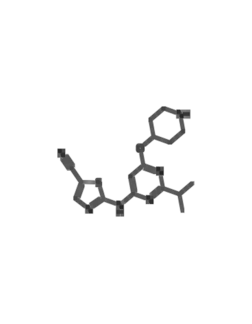 CC(C)c1nc(Nc2ncc(C#N)s2)cc(OC2CCNCC2)n1